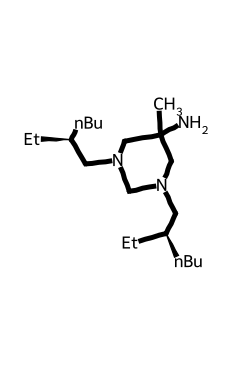 CCCC[C@@H](CC)CN1CN(C[C@@H](CC)CCCC)CC(C)(N)C1